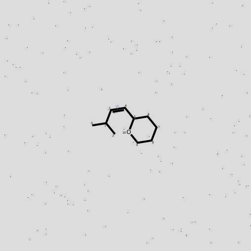 CC(C)/C=C\C1CCCCO1